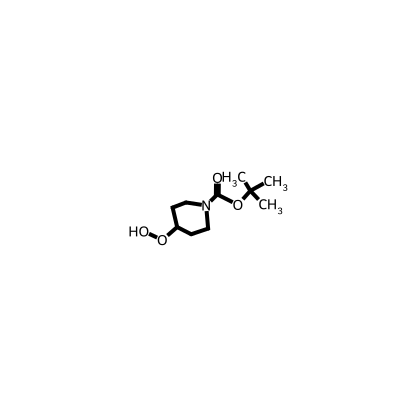 CC(C)(C)OC(=O)N1CCC(OO)CC1